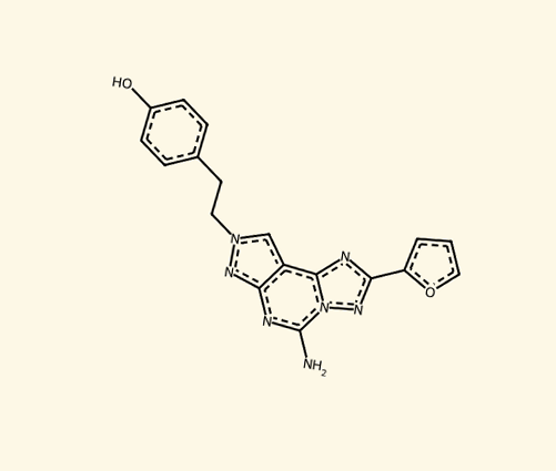 Nc1nc2nn(CCc3ccc(O)cc3)cc2c2nc(-c3ccco3)nn12